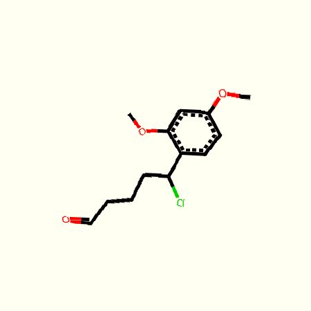 COc1ccc(C(Cl)CCCC=O)c(OC)c1